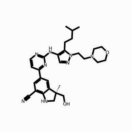 CC(C)CCc1c(Nc2nccc(-c3cc(C#N)c4c(c3)[C@@](C)(CO)CN4)n2)cnn1CCN1CCOCC1